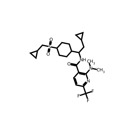 CN(C)c1nc(C(F)(F)F)ccc1C(=O)NC(CC1CC1)C1CCC(S(=O)(=O)CC2CC2)CC1